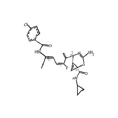 C=C(/C(F)=C\C=C(/C)NC(=O)c1ccc(Cl)cn1)[C@@]1(C)N=C(N)S[C@@]2(C(=O)NC3CC3)C=C12